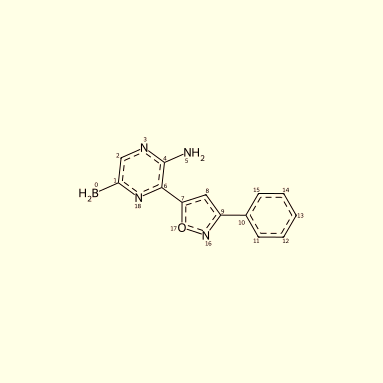 Bc1cnc(N)c(-c2cc(-c3ccccc3)no2)n1